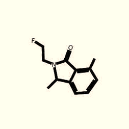 Cc1cccc2c1C(=O)N(CCF)C2C